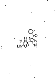 CNC(=O)[C@@H](NC(=O)c1nc(C(=O)c2ccccc2)n2c1CN(C)CC2)C(C)(C)C